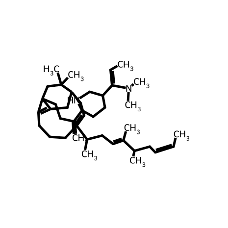 C=C(CCC12CC(C)(C)C3C/C=C(/C(C)C/C=C(\C)C(C)C/C=C\C)CCCC1=C2C3)C1CCC(/C(=C/C)N(C)C)CN1